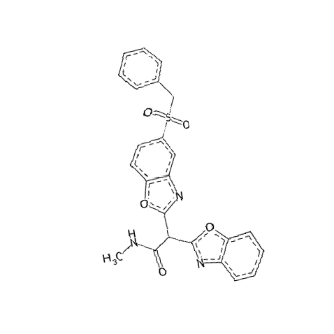 CNC(=O)C(c1nc2ccccc2o1)c1nc2cc(S(=O)(=O)Cc3ccccc3)ccc2o1